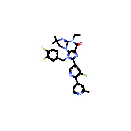 CCN1C(=O)c2nc(-c3cnc(-c4ccnc(C)c4)c(F)c3)n(Cc3ccc(F)c(F)c3)c2N2CC(C)(C)N=C12